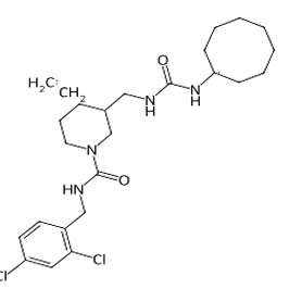 O=C(NCC1CCCN(C(=O)NCc2ccc(Cl)cc2Cl)C1)N[C]1CCCCCCC1.[CH2].[CH2]